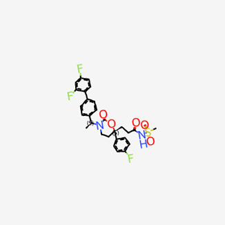 C[C@@H](c1ccc(-c2ccc(F)cc2F)cc1)N1CC[C@@](CCC(=O)NS(C)(=O)=O)(c2ccc(F)cc2)OC1=O